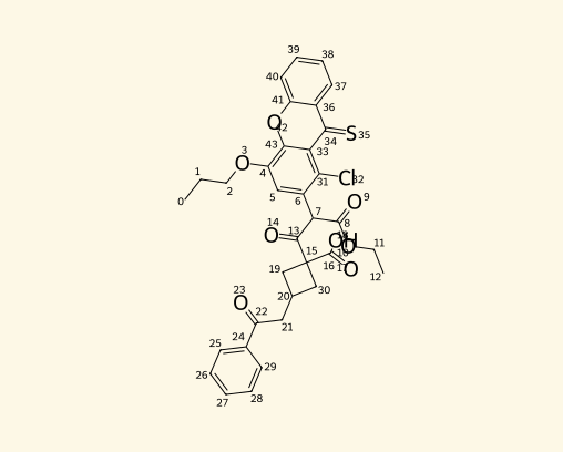 CCCOc1cc(C(C(=O)OCC)C(=O)C2(C(=O)O)CC(CC(=O)c3ccccc3)C2)c(Cl)c2c(=S)c3ccccc3oc12